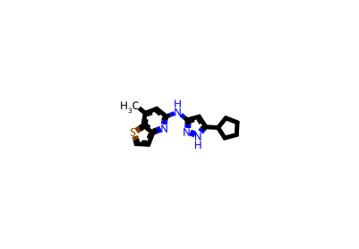 Cc1cc(Nc2cc(C3CCCC3)[nH]n2)nc2ccsc12